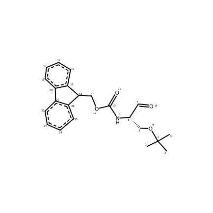 CC(C)(C)OC[C@@H](C=O)NC(=O)OCC1c2ccccc2-c2ccccc21